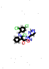 O=C(c1nc(-c2ccncn2)no1)c1c(Cl)n(Cc2ccc(Cl)cc2Cl)c2ccccc12